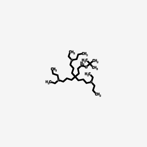 CCCN(CC)CCCC(CCCN(CC)CCC)(CCCN(CC)CCC)CC[SiH2]OC(C)(C)C